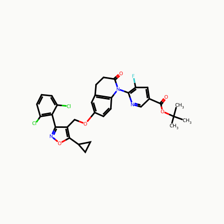 CC(C)(C)OC(=O)c1cnc(N2C(=O)CCc3cc(OCc4c(-c5c(Cl)cccc5Cl)noc4C4CC4)ccc32)c(F)c1